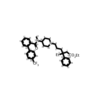 CCOC(=O)CC(CC)(CCCN1CCC(N(C)C(=O)c2ccccc2-c2ccc(C(F)(F)F)cc2)CC1)c1ccccc1